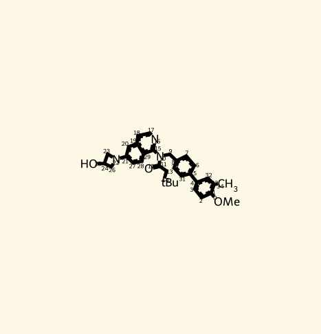 COc1ccc(-c2ccc(CN(C(=O)CC(C)(C)C)c3nccc4cc(N5CC(O)C5)ccc34)cc2)cc1C